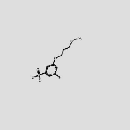 COCCCOc1cc(Br)cc(S(=O)(=O)Cl)c1